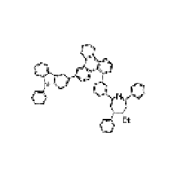 CC[C@H]1CC(c2ccccc2)=NC(c2cccc(-c3cccc4c5ccccc5c5cc(C6=CCC7C(=C6)c6ccccc6N7c6ccccc6)ccc5c34)c2)=CC1c1ccccc1